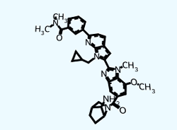 COc1cc(C(=O)N2CC3CCC2C3N)cc2nc(-c3cc4ccc(-c5cccc(C(=O)N(C)C)c5)nc4n3CC3CC3)n(C)c12